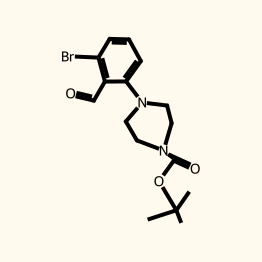 CC(C)(C)OC(=O)N1CCN(c2cccc(Br)c2C=O)CC1